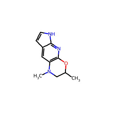 CC1CN(C)c2cc3cc[nH]c3nc2O1